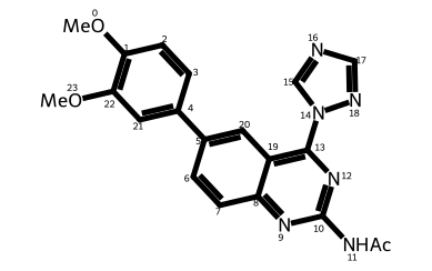 COc1ccc(-c2ccc3nc(NC(C)=O)nc(-n4cncn4)c3c2)cc1OC